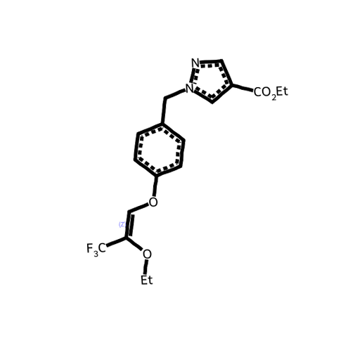 CCOC(=O)c1cnn(Cc2ccc(O/C=C(\OCC)C(F)(F)F)cc2)c1